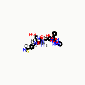 Cc1ncsc1-c1ccc(CNC(=O)[C@@H]2C[C@@H](O)CN2C(=O)[C@@H](NC(=O)C[C@H]2CC3CCC2C[C@@H]3c2cnc(N3C4CCC3CN(c3cc(-c5ccccc5O)nnc3N)C4)nc2)C(C)(C)C)cc1